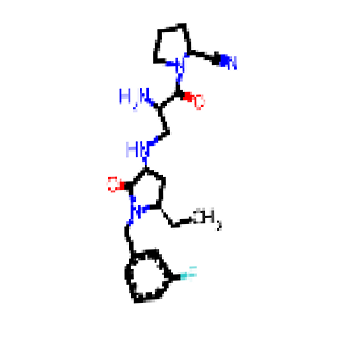 CC[C@@H]1C[C@H](NCC(N)C(=O)N2CCCC2C#N)C(=O)N1Cc1cccc(F)c1